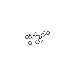 CC1(C)C2=C(C=CCC2)c2c1c1cc3c(cc1n2-c1cccc(-c2nc(-c4ccccc4)c4ccccc4n2)c1)C(C)(C)c1ccccc1-3